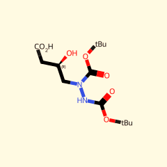 CC(C)(C)OC(=O)NN(C[C@H](O)CC(=O)O)C(=O)OC(C)(C)C